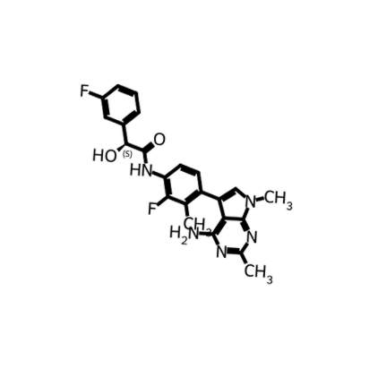 Cc1nc(N)c2c(-c3ccc(NC(=O)[C@@H](O)c4cccc(F)c4)c(F)c3C)cn(C)c2n1